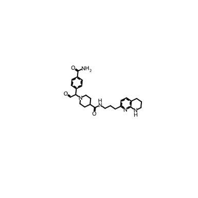 NC(=O)c1ccc(C(C=O)N2CCC(C(=O)NCCCc3ccc4c(n3)NCCC4)CC2)cc1